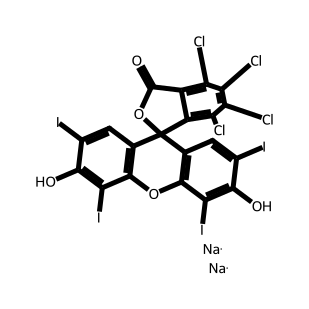 O=C1OC2(c3cc(I)c(O)c(I)c3Oc3c2cc(I)c(O)c3I)c2c(Cl)c(Cl)c(Cl)c(Cl)c21.[Na].[Na]